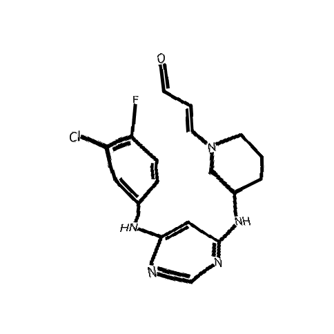 O=CC=CN1CCCC(Nc2cc(Nc3ccc(F)c(Cl)c3)ncn2)C1